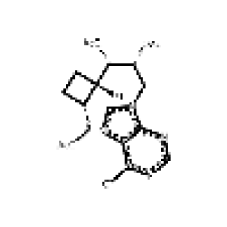 CC[C@]1([C@H](OC(C)=O)[C@@H](Cn2cnc3c(Cl)ncnc32)OC(C)=O)CC[C@H]1COC(C)=O